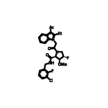 CCc1c(C(C)=O)c2ccccc2n1CC(=O)N1C[C@H](F)[C@@H](OC)[C@H]1C(=O)NCc1cccc(Cl)c1F